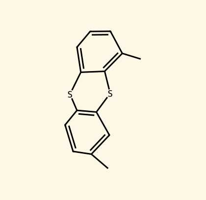 Cc1ccc2c(c1)Sc1c(C)cccc1S2